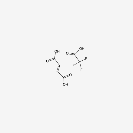 O=C(O)/C=C/C(=O)O.O=C(O)C(F)(F)F